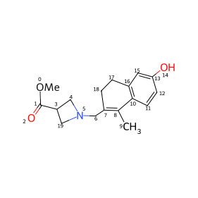 COC(=O)C1CN(CC2=C(C)c3ccc(O)cc3CC2)C1